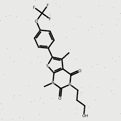 Cc1c(-c2ccc(OC(F)(F)F)cc2)sc2c1c(=O)n(CCCO)c(=O)n2C